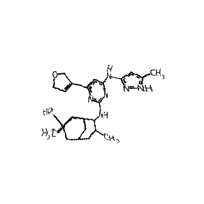 Cc1cc(Nc2cc(C3=CCOC3)nc(NC3C(C)CC4CC3CC(C)(O)C4)n2)n[nH]1